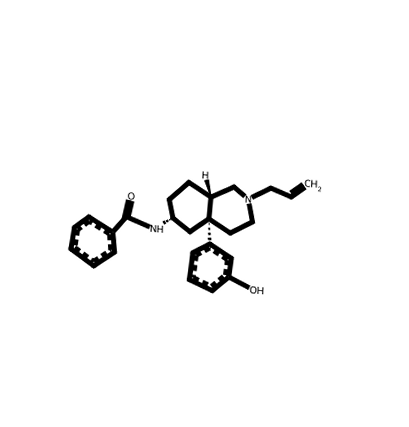 C=CCN1CC[C@@]2(c3cccc(O)c3)C[C@H](NC(=O)c3ccccc3)CC[C@@H]2C1